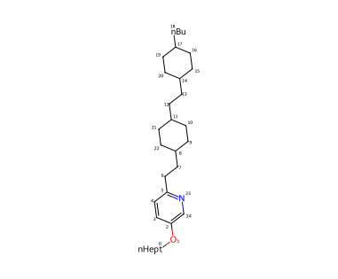 CCCCCCCOc1ccc(CCC2CCC(CCC3CCC(CCCC)CC3)CC2)nc1